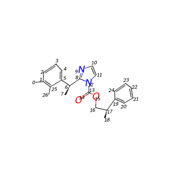 Cc1cccc([C@H](C)c2nccn2C(=O)OC[C@H](C)c2ccccc2)c1C